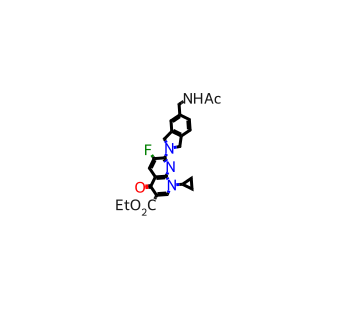 CCOC(=O)c1cn(C2CC2)c2nc(N3Cc4ccc(CNC(C)=O)cc4C3)c(F)cc2c1=O